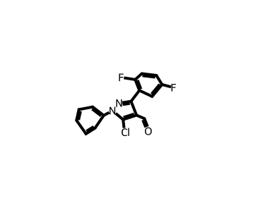 O=Cc1c(-c2cc(F)ccc2F)nn(-c2ccccc2)c1Cl